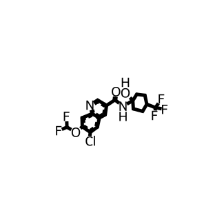 O=C(NC1(O)CCC(C(F)(F)F)CC1)c1cnc2cc(OC(F)F)c(Cl)cc2c1